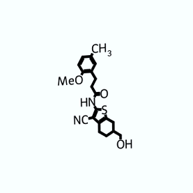 COc1ccc(C)cc1CCC(=O)Nc1sc2c(c1C#N)CCC(CO)C2